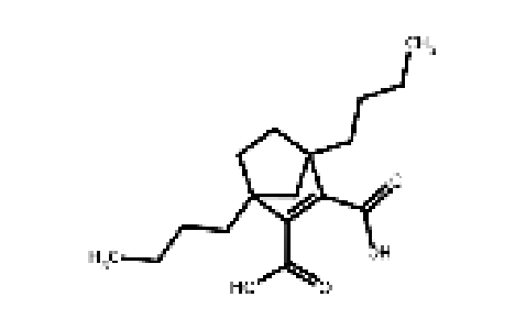 CCCCC12CCC(CCCC)(C1)C(C(=O)O)=C2C(=O)O